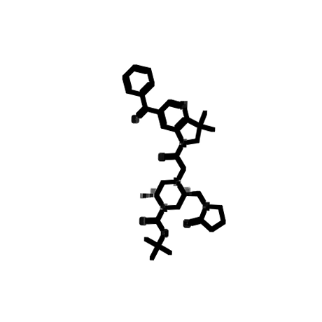 C[C@@H]1CN(CC(=O)N2CC(C)(C)c3ncc(C(=O)c4ccccc4)cc32)[C@@H](CN2CCCC2=O)CN1C(=O)OC(C)(C)C